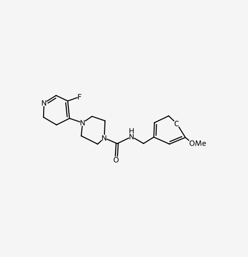 COC1=CC(CNC(=O)N2CCN(C3=C(F)C=NCC3)CC2)=CCC1